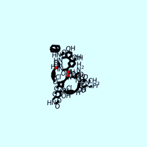 CC(C)C[C@H](C(=O)N[C@H]1C(=O)N[C@@H](CC(N)=O)C(=O)N[C@H]2C(=O)N[C@H]3C(=O)N[C@H](C(=O)N[C@H](C(=O)NC4C5CC6CC(C5)CC4C6)c4cc(O)cc(O)c4-c4cc3ccc4O)[C@H](O)c3ccc(c(Cl)c3)Oc3cc2cc(c3OC2OC3CNC(=O)OC3C(O)C2O)Oc2ccc(cc2Cl)[C@H]1O)N(C)C(=O)OC(C)(C)C